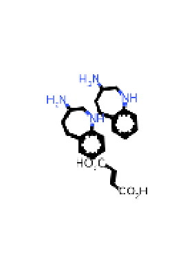 NC1CCc2ccccc2NC1.NC1CCc2ccccc2NC1.O=C(O)C=CC(=O)O